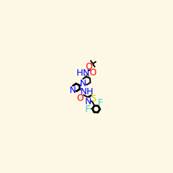 CC(C)(C)OC(=O)N[C@H]1CCCN(c2ccncc2NC(=O)c2csc(-c3c(F)cccc3F)n2)C1